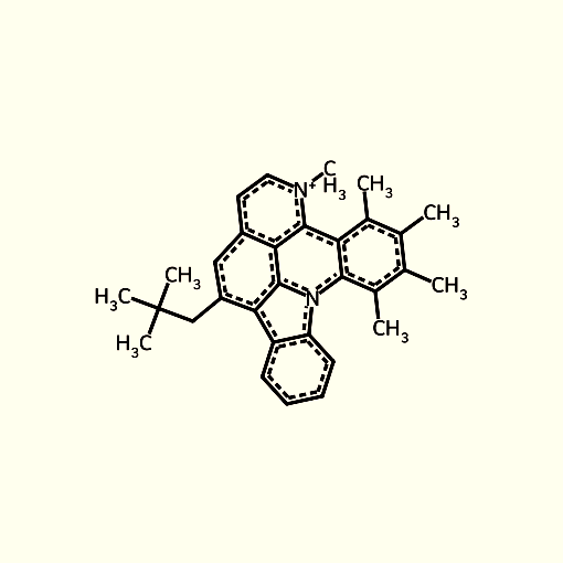 Cc1c(C)c(C)c2c(c1C)c1c3c(cc[n+]1C)cc(CC(C)(C)C)c1c4ccccc4n2c13